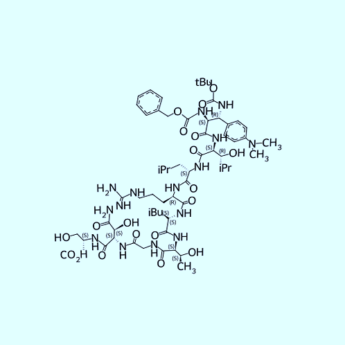 CC[C@H](C)[C@H](NC(=O)[C@@H](CCCNC(=N)N)NC(=O)[C@H](CC(C)C)NC(=O)[C@@H](NC(=O)[C@@H](NC(=O)OCc1ccccc1)[C@H](NC(=O)OC(C)(C)C)c1ccc(N(C)C)cc1)[C@H](O)C(C)C)C(=O)N[C@H](C(=O)NCC(=O)N[C@H](C(=O)N[C@@H](CO)C(=O)O)[C@H](O)C(N)=O)[C@H](C)O